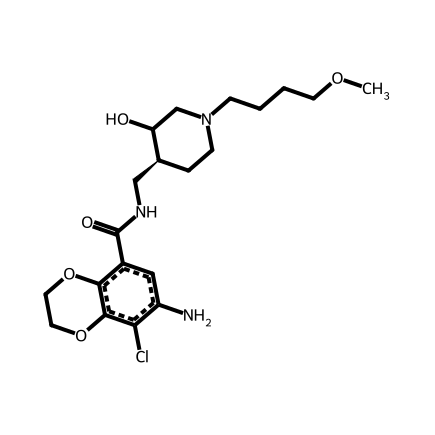 COCCCCN1CC[C@@H](CNC(=O)c2cc(N)c(Cl)c3c2OCCO3)C(O)C1